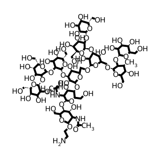 CC(=O)NC1[C@H](OCCN)OC(CO)[C@@H](O[C@@H]2OC(CO)[C@@H](O[C@@H]3OC(CO[C@H]4OC(CO[C@H]5OC(CO)[C@@H](O)[C@H](C)C5O[C@H]5OC(CO)[C@@H](O)[C@H](O)C5O)[C@@H](O)[C@H](O[C@H]5O[C@@H](CO)[C@@H](O)C(O)C5O[C@H]5O[C@@H](CO)[C@@H](O)C(O)C5O)C4O)[C@@H](O)[C@H](O[C@H]4O[C@@H](CO)[C@@H](O)C(O)C4O[C@H]4O[C@@H](CO)[C@@H](O)C(O)C4O[C@H]4O[C@@H](CO)[C@@H](O)C(O)C4O)C3O)[C@H](O)C2NC(C)=O)[C@@H]1O